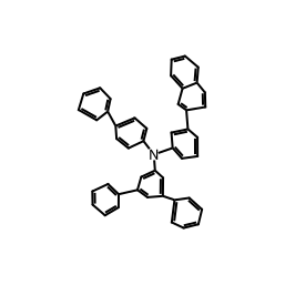 c1ccc(-c2ccc(N(c3cccc(-c4ccc5ccccc5c4)c3)c3cc(-c4ccccc4)cc(-c4ccccc4)c3)cc2)cc1